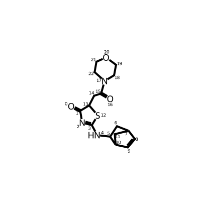 O=C1N=C(NC2CC3C=CC2C3)SC1CC(=O)N1CCOCC1